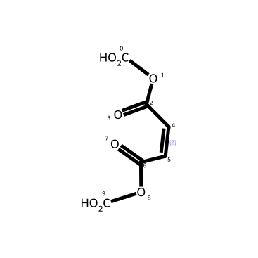 O=C(O)OC(=O)/C=C\C(=O)OC(=O)O